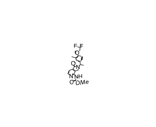 COC(=O)Nc1nccc2c1CN(C(C)c1ccc(OCC(F)F)c(C)c1)C2=O